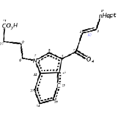 CCCCCCC/C=C/C(=O)c1cn(CCCC(=O)O)c2ccccc12